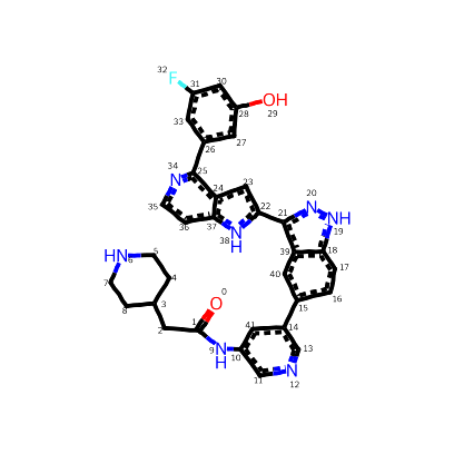 O=C(CC1CCNCC1)Nc1cncc(-c2ccc3[nH]nc(-c4cc5c(-c6cc(O)cc(F)c6)nccc5[nH]4)c3c2)c1